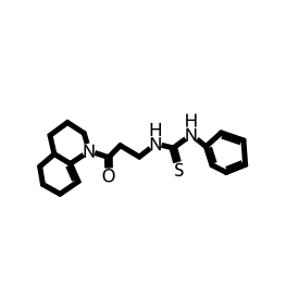 O=C(CCNC(=S)Nc1ccccc1)N1CCCC2CCCC=C21